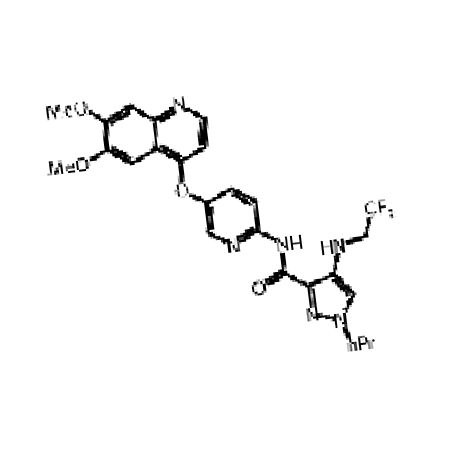 CCCn1cc(NCC(F)(F)F)c(C(=O)Nc2ccc(Oc3ccnc4cc(OC)c(OC)cc34)cn2)n1